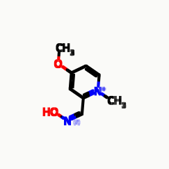 COc1cc[n+](C)c(/C=N\O)c1